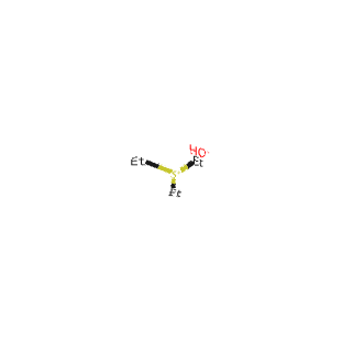 CC[S+](CC)CC.[OH-]